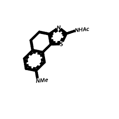 CNc1ccc2c(c1)-c1sc(NC(C)=O)nc1CC2